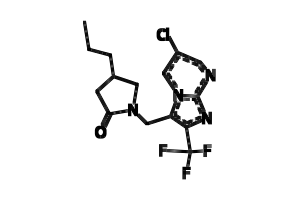 CCCC1CC(=O)N(Cc2c(C(F)(F)F)nc3ncc(Cl)cn23)C1